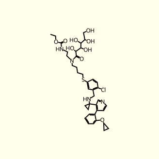 CCOC(=O)NCCN(CCCCSc1ccc(Cl)c(CNC2(c3cnccc3-c3ccccc3OC3CC3)CC2)c1)C(=O)C(O)C(O)C(O)C(O)CO